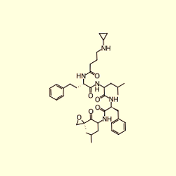 CC(C)CC(NC(=O)[C@H](CCc1ccccc1)NC(=O)CCCNC1CC1)C(=O)N[C@@H](Cc1ccccc1)C(=O)NC(CC(C)C)C(=O)[C@@]1(C)CO1